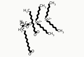 CC(=O)[O-].CC(=O)[O-].CCCCCCCCCCCC(=O)[O-].CCCCCCCCCCCC(=O)[O-].CCCCCCC[CH2][Sn+2][CH2]CCCCCCC.CCCCCCC[CH2][Sn+2][CH2]CCCCCCC